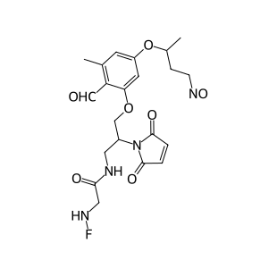 Cc1cc(OC(C)CCN=O)cc(OCC(CNC(=O)CNF)N2C(=O)C=CC2=O)c1C=O